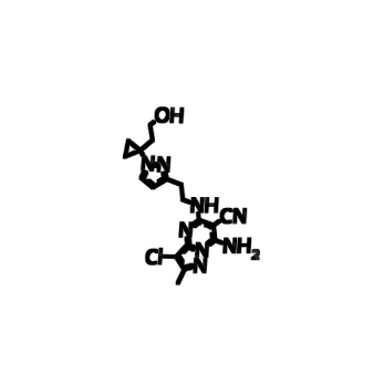 Cc1nn2c(N)c(C#N)c(NCCc3ccn(C4(CCO)CC4)n3)nc2c1Cl